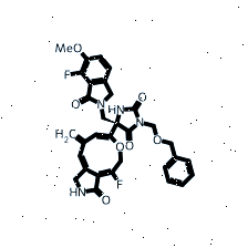 C=C1/C=C(/[C@]2(CN3Cc4ccc(OC)c(F)c4C3=O)NC(=O)N(COCc3ccccc3)C2=O)OC/C(F)=C2/C(=O)NC/C2=C/1